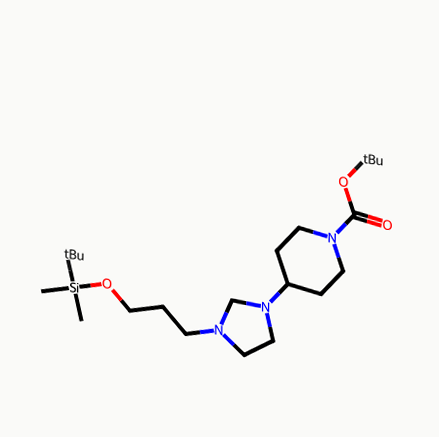 CC(C)(C)OC(=O)N1CCC(N2CCN(CCCO[Si](C)(C)C(C)(C)C)C2)CC1